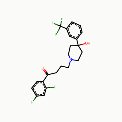 O=C(CCCN1CCC(O)(c2cccc(C(F)(F)F)c2)CC1)c1ccc(F)cc1F